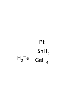 [GeH4].[Pt].[SnH2].[TeH2]